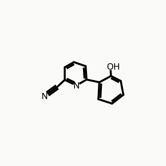 N#Cc1cccc(-c2ccccc2O)n1